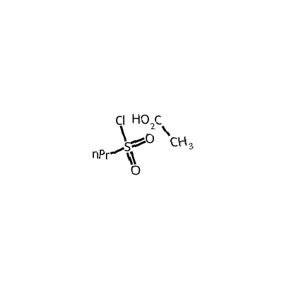 CC(=O)O.CCCS(=O)(=O)Cl